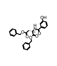 O=C(C[C@H](NC(=O)c1cccc(O)c1)C(=O)OCc1ccccc1)OCc1ccccc1